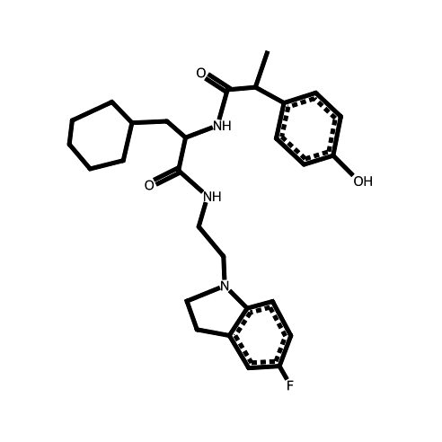 CC(C(=O)NC(CC1CCCCC1)C(=O)NCCN1CCc2cc(F)ccc21)c1ccc(O)cc1